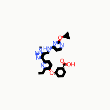 CCc1nc(-c2nnn(C)c2CNc2ccnc(OC3CC3)n2)ccc1O[C@H]1CCC[C@H](C(=O)O)C1